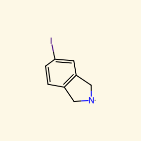 Ic1ccc2c(c1)C[N]C2